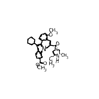 COC(=O)c1ccc2c(C3CCCCC3)c3n(c2c1)CC(C(=O)N1C[C@@H](C)N[C@@H](C)C1)=Cc1c(OC)cccc1-3